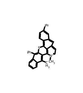 Cc1c2c(c(C(C)C)c3ccccc13)Sc1c3ccc(C(C)C)cc3cc3cc[n+](C)c-2c13